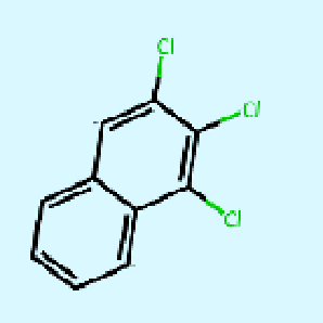 Clc1[c]c2ccc[c]c2c(Cl)c1Cl